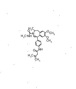 CNC(=O)N1N=C(c2ccc(NC(=O)CN(C)C)cc2)c2cc(OC)c(OC)cc2CC1C